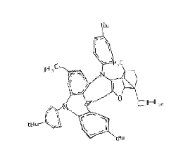 Cc1cc2c3c(c1)N(c1ccc(C(C)(C)C)cc1)c1ccc(C(C)(C)C)cc1B3C1=C(C3C(O1)C1(C)CCC3(C)CC1)N2c1ccc(C(C)(C)C)cc1